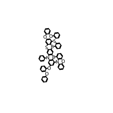 c1ccc(Oc2ccccc2Oc2cc3c4c(c2)Sc2cc5c(cc2B4c2ccccc2S3)B2c3cccc4c3N(c3ccccc3O4)c3cc(Oc4ccccc4Oc4ccccc4)cc(c32)N5c2ccccc2)cc1